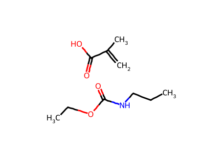 C=C(C)C(=O)O.CCCNC(=O)OCC